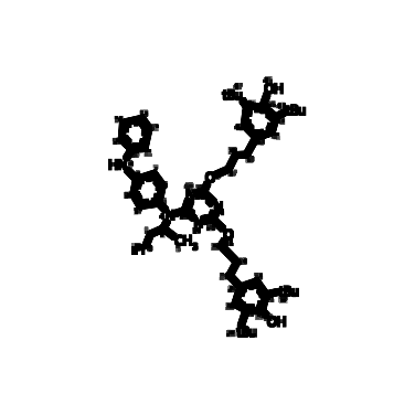 CC(C)CC(C)N(c1ccc(Nc2ccccc2)cc1)c1nc(OCCCc2cc(C(C)(C)C)c(O)c(C(C)(C)C)c2)nc(OCCCc2cc(C(C)(C)C)c(O)c(C(C)(C)C)c2)n1